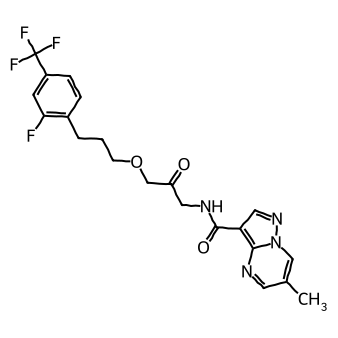 Cc1cnc2c(C(=O)NCC(=O)COCCCc3ccc(C(F)(F)F)cc3F)cnn2c1